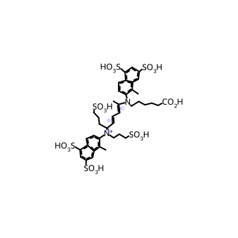 C\C(=C/C=C/C(CCCS(=O)(=O)O)=[N+](\CCCS(=O)(=O)O)c1ccc2c(S(=O)(=O)O)cc(S(=O)(=O)O)cc2c1C)N(CCCCCC(=O)O)c1ccc2c(S(=O)(=O)O)cc(S(=O)(=O)O)cc2c1C